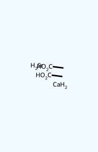 CC(=O)O.CC(=O)O.[CaH2].[SrH2]